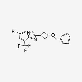 FC(F)(F)c1cc(Br)cn2cc(C3CC(OCc4ccccc4)C3)nc12